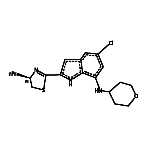 CCC[C@@H]1CSC(c2cc3cc(Cl)cc(NC4CCOCC4)c3[nH]2)=N1